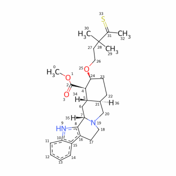 COC(=O)[C@@H]1[C@H]2C[C@H]3c4[nH]c5ccccc5c4CCN3C[C@@H]2CC[C@@H]1OCCC(C)(C)C(C)=S